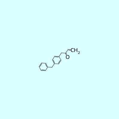 C=CC(=O)Cc1ccc(Cc2ccccc2)cc1